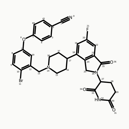 N#Cc1ccc(Oc2ccc(Br)c(CN3CCC(c4cc(F)cc5c4CN(C4CCC(=O)NC4=O)C5=O)CC3)c2)cc1